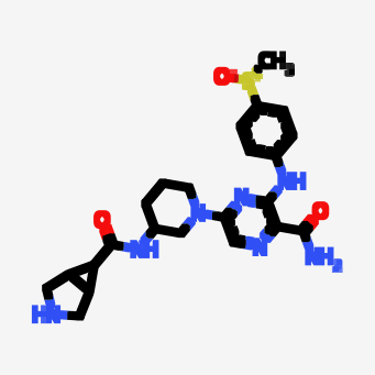 C[S+]([O-])c1ccc(Nc2nc(N3CCCC(NC(=O)C4C5CNCC54)C3)cnc2C(N)=O)cc1